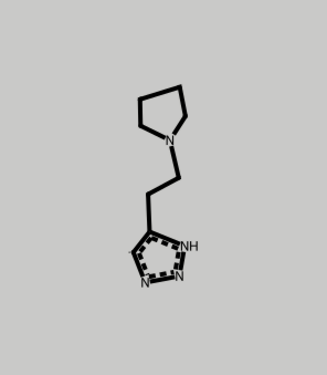 [c]1nn[nH]c1CCN1CCCC1